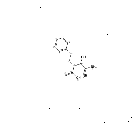 N=C(N)N(O)[C@@H](CCc1ccccc1)C(=O)O